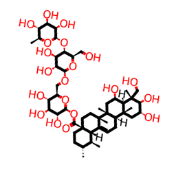 C[C@H]1[C@H](C)CC[C@]2(C(=O)O[C@@H]3O[C@H](CO[C@@H]4O[C@H](CO)[C@@H](O[C@@H]5O[C@@H](C)[C@H](O)[C@@H](O)[C@H]5O)[C@H](O)[C@H]4O)[C@@H](O)[C@H](O)[C@H]3O)CC[C@@]3(C)C(=CC[C@@H]4[C@@]5(C)C[C@@H](O)[C@H](O)[C@@](C)(CO)[C@@H]5[C@H](O)C[C@]43C)[C@H]12